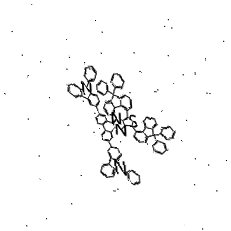 c1ccc(-n2c3ccccc3c3cc(-c4ccc5c6ccc(-c7ccc8c(c7)c7ccccc7n8-c7ccccc7)cc6c6nc7c(-c8cccc9c8-c8ccccc8C9(c8ccccc8)c8ccccc8)sc(-c8cccc9c8-c8ccccc8C9(c8ccccc8)c8ccccc8)c7nc6c5c4)ccc32)cc1